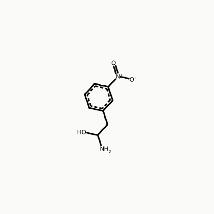 NC(O)Cc1cccc([N+](=O)[O-])c1